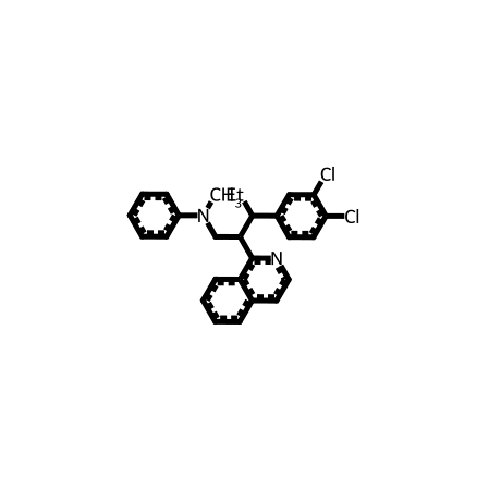 CCC(c1ccc(Cl)c(Cl)c1)C(CN(C)c1ccccc1)c1nccc2ccccc12